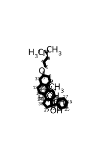 CN(C)CCCOC1CC[C@@]2(C)C(CC[C@@H]3[C@H]2CC[C@]2(C)C(O)(c4ccccc4)CC[C@@]32O)C1